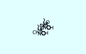 CCCn1c(Cl)nc2ccc(I)cc2c1=O.CCCn1c(OC)nc2ccc(I)cc2c1=O